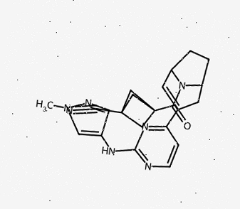 Cn1cc(Nc2nccc(C3=CC4CCC(C3)N4C(=O)C34CC(C#N)(C3)C4)n2)cn1